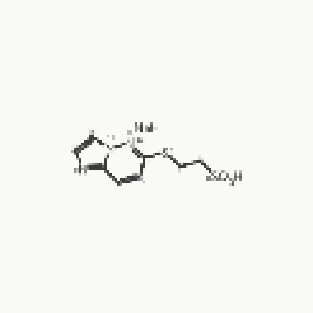 O=S(=O)(O)CCSc1ccc2nccn2n1.[NaH]